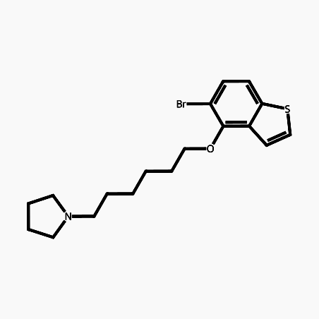 Brc1ccc2sccc2c1OCCCCCCN1CCCC1